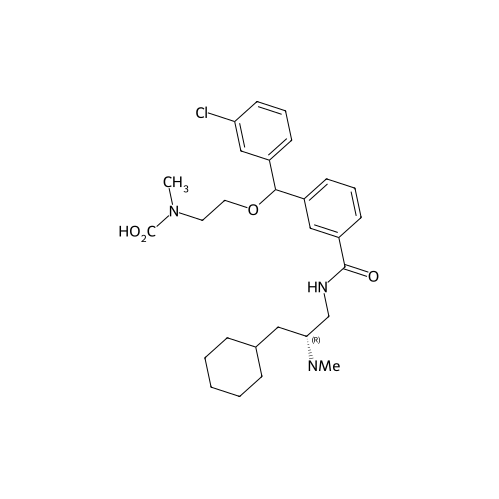 CN[C@@H](CNC(=O)c1cccc(C(OCCN(C)C(=O)O)c2cccc(Cl)c2)c1)CC1CCCCC1